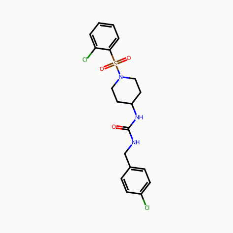 O=C(NCc1ccc(Cl)cc1)NC1CCN(S(=O)(=O)c2ccccc2Cl)CC1